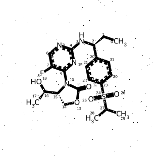 CC[C@H](Nc1ncc(F)c(N2C(=O)OC[C@@H]2[C@@H](C)O)n1)c1ccc(S(=O)(=O)C(C)C)cc1